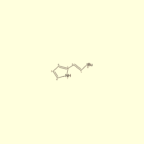 CC(C)(C)/C=C/c1ccc[nH]1